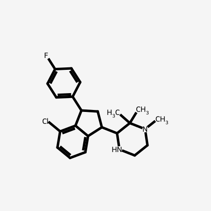 CN1CCNC(C2CC(c3ccc(F)cc3)c3c(Cl)cccc32)C1(C)C